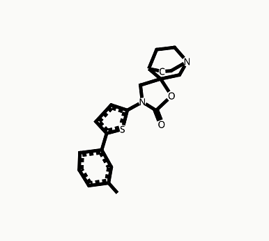 Cc1cccc(-c2ccc(N3CC4(CN5CCC4CC5)OC3=O)s2)c1